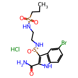 CCCS(=O)(=O)NCCN[S+]([O-])c1c(C(N)=O)[nH]c2ccc(Br)cc12.Cl